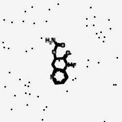 NC(=O)OC1Cc2ncccc2N(F)C1=O